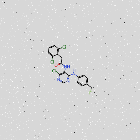 O=C(Cc1c(Cl)cccc1Cl)Nc1c(Cl)ncnc1Nc1ccc(CF)cc1